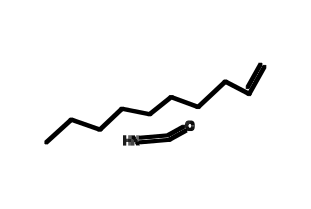 C=CCCCCCCCC.N=C=O